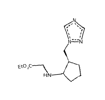 CCOC(=O)CNC1CCC[C@@H]1Cn1cncn1